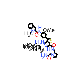 CC(=O)O.CC(=O)O.CC(=O)O.COc1cc(-c2csc3c(C(=O)NCC4CCCN4CC(N)=O)cnc(N)c23)ccc1NC(=O)c1cc2ccccc2n1C